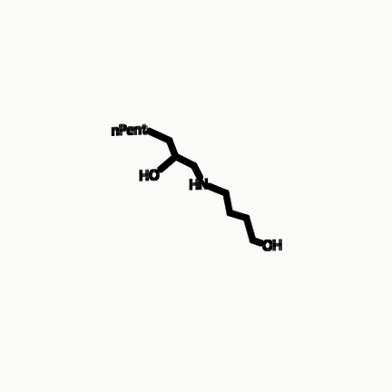 CCCCCCC(O)CNCCCCO